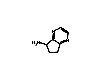 NC1CCc2nccnc21